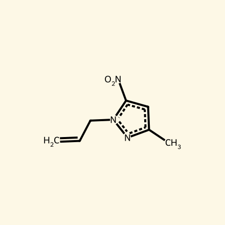 C=CCn1nc(C)cc1[N+](=O)[O-]